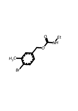 CCNC(=O)OCc1ccc(Br)c(C)c1